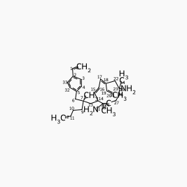 C=Cc1ccc(C[C@@](C)(CCCC)CC2/C=C/C=C(\C=C/C)CC(C)(N)CCCC2(C)N)cc1